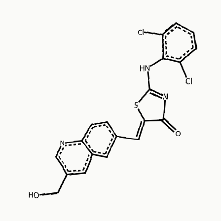 O=C1N=C(Nc2c(Cl)cccc2Cl)S/C1=C\c1ccc2ncc(CO)cc2c1